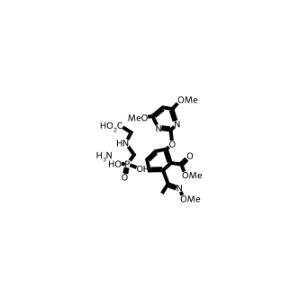 CON=C(C)c1cccc(Oc2nc(OC)cc(OC)n2)c1C(=O)OC.N.O=C(O)CNCP(=O)(O)O